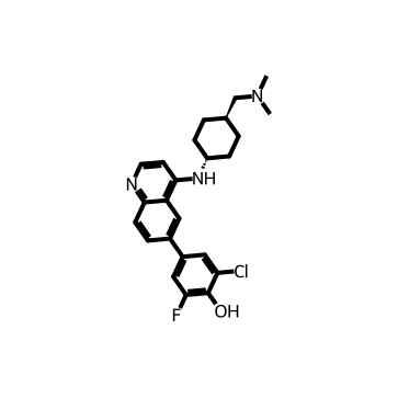 CN(C)C[C@H]1CC[C@H](Nc2ccnc3ccc(-c4cc(F)c(O)c(Cl)c4)cc23)CC1